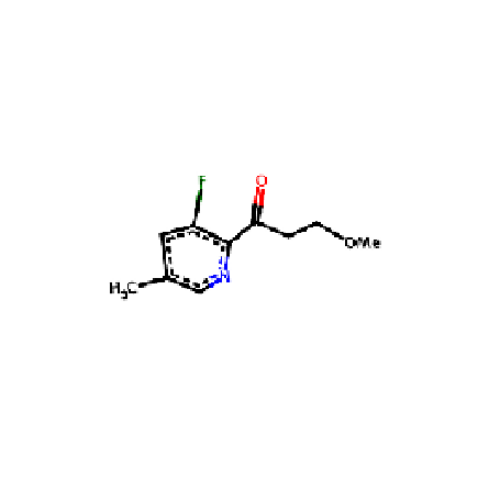 COCCC(=O)c1ncc(C)cc1F